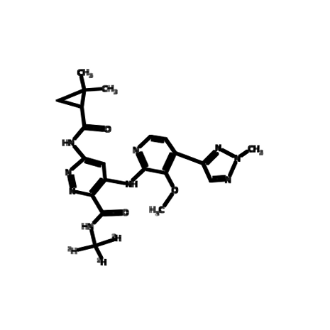 [2H]C([2H])([2H])NC(=O)c1nnc(NC(=O)C2CC2(C)C)cc1Nc1nccc(-c2cnn(C)n2)c1OC